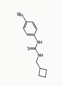 CC(C)(C)c1ccc(NC(=S)NCC2CCC2)cc1